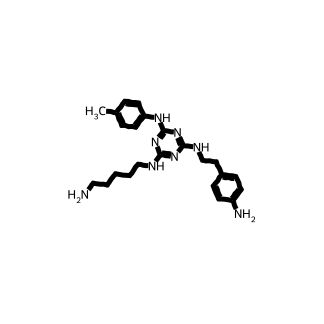 Cc1ccc(Nc2nc(NCCCCCN)nc(NCCc3ccc(N)cc3)n2)cc1